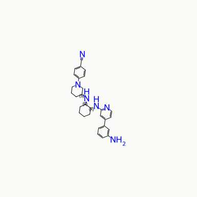 N#Cc1ccc(N2CCC[C@H](N[C@@H]3CCCC[C@H]3Nc3cc(-c4cccc(N)c4)ccn3)C2)cc1